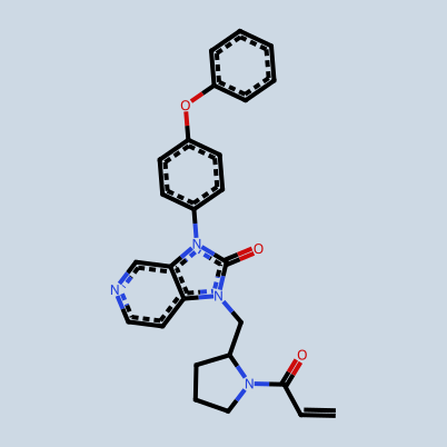 C=CC(=O)N1CCCC1Cn1c(=O)n(-c2ccc(Oc3ccccc3)cc2)c2cnccc21